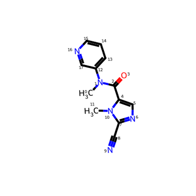 CN(C(=O)c1cnc(C#N)n1C)c1cccnc1